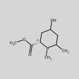 COC(=O)[C@@H]1CC(O)CC(C)N1C